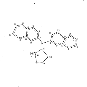 c1ccc2cc(C(c3ccc4ccccc4c3)C3CCCN3)ccc2c1